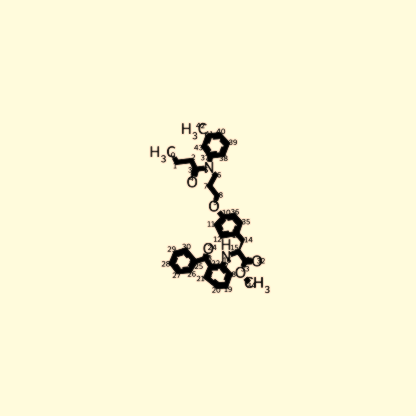 CCCC(=O)N(CCCOc1ccc(C[C@H](Nc2ccccc2C(=O)c2ccccc2)C(=O)OC)cc1)c1cccc(C)c1